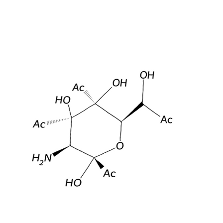 CC(=O)C(O)[C@H]1O[C@@](O)(C(C)=O)[C@@H](N)[C@](O)(C(C)=O)[C@]1(O)C(C)=O